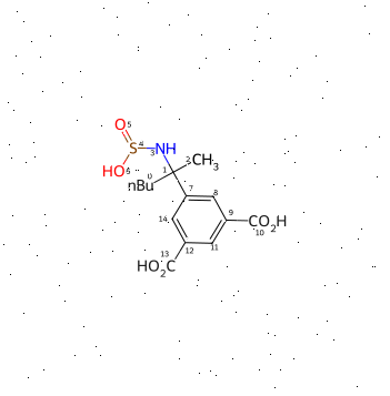 CCCCC(C)(NS(=O)O)c1cc(C(=O)O)cc(C(=O)O)c1